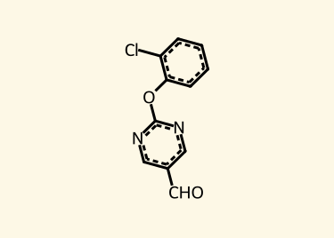 O=Cc1cnc(Oc2ccccc2Cl)nc1